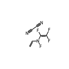 C=CN(F)C(F)=C(F)F.N#CC#N